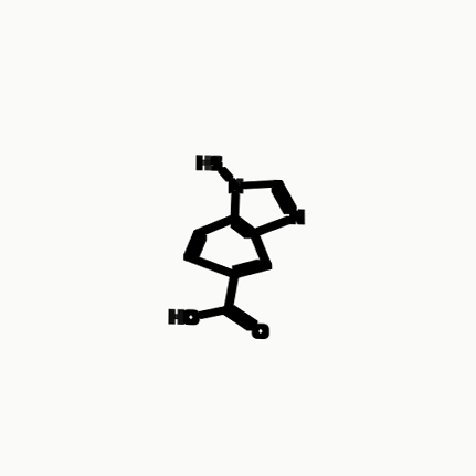 O=C(O)c1ccc2c(c1)ncn2S